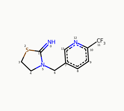 N=C1SCCN1Cc1ccc(C(F)(F)F)nc1